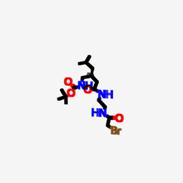 CC(C)C[C@H](CNC(=O)OC(C)(C)C)CC(=O)NCCNC(=O)CBr